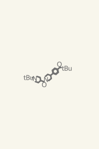 CC(C)(C)C(=O)c1ccc(C2CCN(C(=O)C3CCN(C(C)(C)C)CC3)CC2)cc1